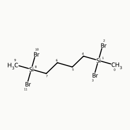 C[Si](Br)(Br)CCCC[Si](C)(Br)Br